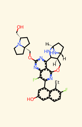 CCc1c(F)ccc2cc(O)cc(-c3nc4c5c(nc(OC[C@]67CCCN6[C@H](CO)CC7)nc5c3F)C3N[C@H]5CC[C@@H](N5)[C@H]3CO4)c12